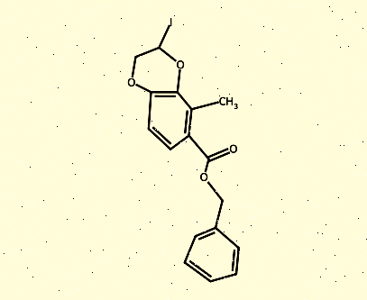 Cc1c(C(=O)OCc2ccccc2)ccc2c1OC(I)CO2